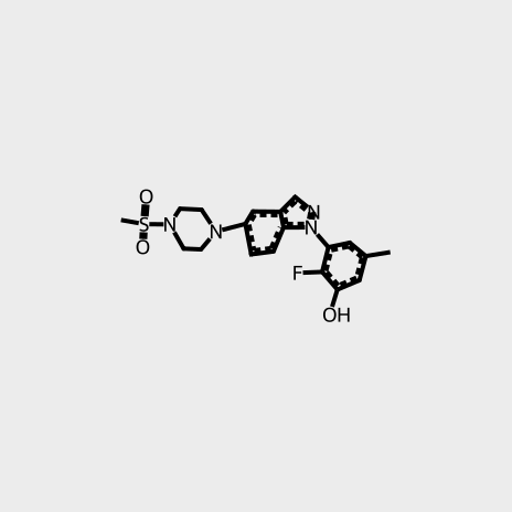 Cc1cc(O)c(F)c(-n2ncc3cc(N4CCN(S(C)(=O)=O)CC4)ccc32)c1